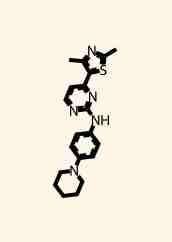 Cc1nc(C)c(-c2ccnc(Nc3ccc(N4CCCCC4)cc3)n2)s1